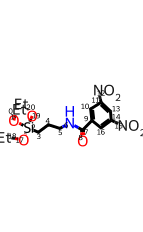 CCO[Si](CCCNC(=O)c1cc([N+](=O)[O-])cc([N+](=O)[O-])c1)(OCC)OCC